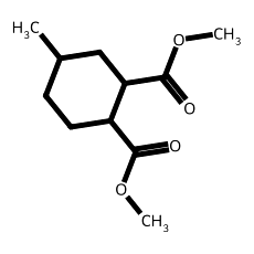 COC(=O)C1CCC(C)CC1C(=O)OC